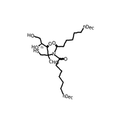 CCCCCCCCCCCCCCCC(=O)N(C(=O)CCCCCCCCCCCCCCC)C([C]=O)(CS)C(=O)[C@@H](O)CO